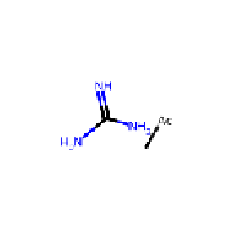 CC(C)=O.N=C(N)N